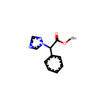 CC(C)(C)OC(=O)C(c1ccccc1)n1cncn1